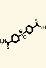 NC(=S)c1ccc(S(=O)(=O)c2ccc(C(N)=S)cc2)cc1